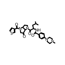 CC(C)CC(NC(=O)c1ccc(N2CCN(C)CC2)cc1)C(=O)N1CCC2C1C(=O)CN2C(=O)c1ccsc1